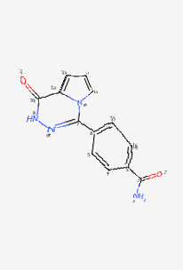 NC(=O)c1ccc(-c2n[nH]c(=O)c3cccn23)cc1